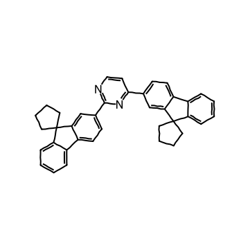 c1ccc2c(c1)-c1ccc(-c3ccnc(-c4ccc5c(c4)C4(CCCC4)c4ccccc4-5)n3)cc1C21CCCC1